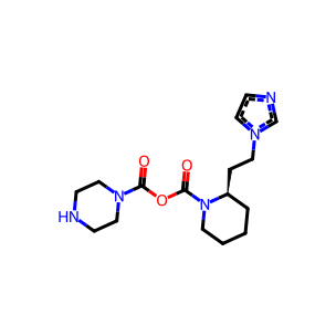 O=C(OC(=O)N1CCCC[C@@H]1CCn1ccnc1)N1CCNCC1